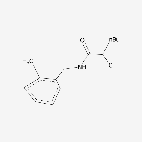 CCCCC(Cl)C(=O)NCc1ccccc1C